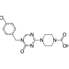 O=C(O)N1CCN(c2ncn(Cc3ccc(Cl)cc3)c(=O)n2)CC1